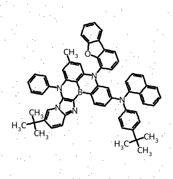 Cc1cc2c3c(c1)N(c1ccccc1)c1c(nc4ccc(C(C)(C)C)cn14)B3c1ccc(N(c3ccc(C(C)(C)C)cc3)c3cccc4ccccc34)cc1N2c1cccc2c1oc1ccccc12